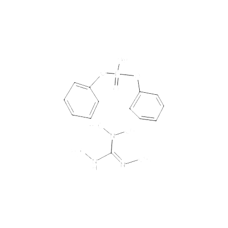 CN=C(NC)N(C)C.O=P(O)(Oc1ccccc1)Oc1ccccc1